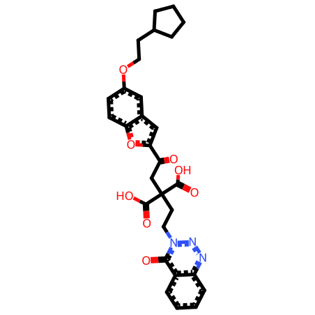 O=C(CC(CCn1nnc2ccccc2c1=O)(C(=O)O)C(=O)O)c1cc2cc(OCCC3CCCC3)ccc2o1